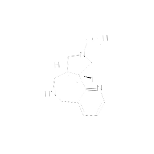 O=C(O)N1C[C@@H]2CNCc3cccnc3[C@H]2C1